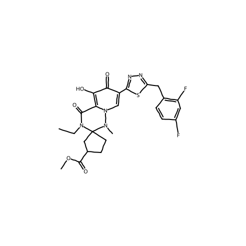 CCN1C(=O)c2c(O)c(=O)c(-c3nnc(Cc4ccc(F)cc4F)s3)cn2N(C)C12CCC(C(=O)OC)C2